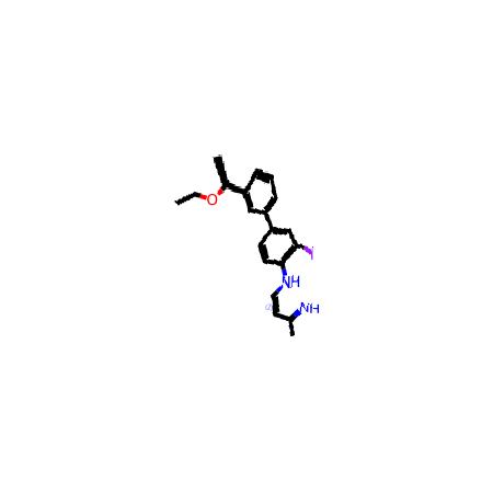 C=C(OCC)c1cccc(-c2ccc(N/C=C\C(C)=N)c(I)c2)c1